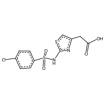 O=C(O)Cc1csc(NS(=O)(=O)c2ccc(Cl)cc2)n1